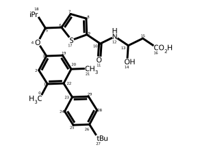 Cc1cc(OC(c2ccc(C(=O)NC(O)CC(=O)O)s2)C(C)C)cc(C)c1-c1ccc(C(C)(C)C)cc1